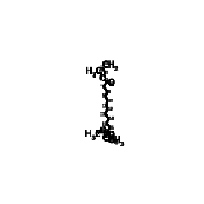 C=C(C)COC(=O)CCCCCCCCC[CH2][Ti]([CH3])([O]C)[O]C